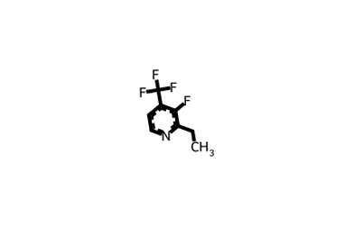 CCc1nccc(C(F)(F)F)c1F